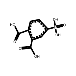 O=C(O)c1ccc(P(=O)(O)O)cc1C(=O)O